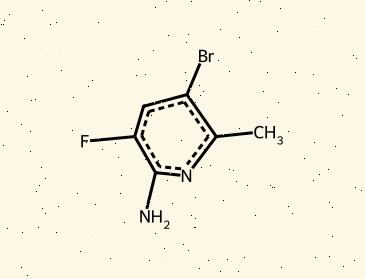 Cc1nc(N)c(F)cc1Br